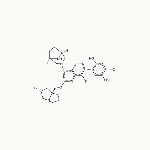 Oc1cc(Cl)c(C(F)(F)F)cc1-c1ncc2c(N3C[C@H]4CC[C@@H](C3)N4)nc(OC[C@@]34CCCN3C[C@H](F)C4)nc2c1F